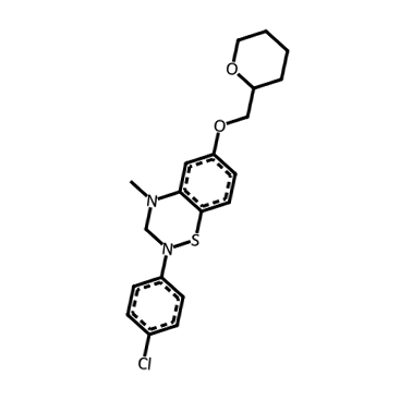 CN1CN(c2ccc(Cl)cc2)Sc2ccc(OCC3CCCCO3)cc21